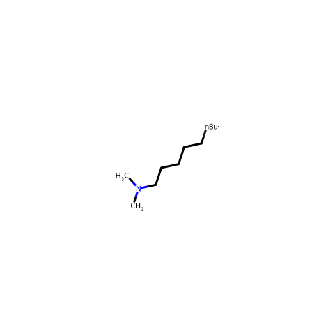 CCC[CH]CCCCCN(C)C